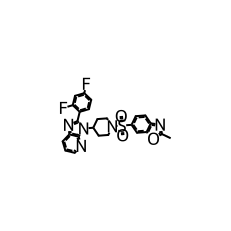 Cc1nc2ccc(S(=O)(=O)N3CCC(n4c(-c5ccc(F)cc5F)nc5cccnc54)CC3)cc2o1